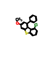 COc1cc(-c2ccccc2)c2c(c1)sc1cccc(Cl)c12